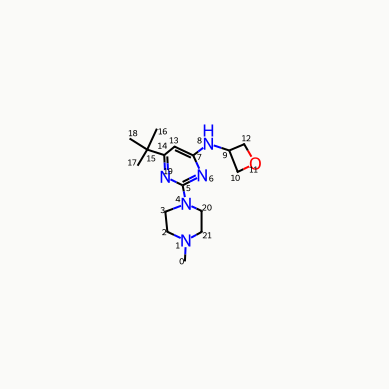 CN1CCN(c2nc(NC3COC3)cc(C(C)(C)C)n2)CC1